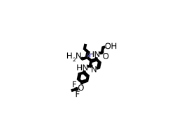 CC/C=C(\CN)c1c(NC(=O)CO)ccnc1Nc1ccc(OC(C)(F)F)cc1